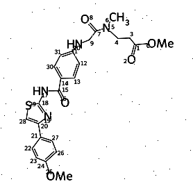 COC(=O)CCN(C)C(=O)CNc1ccc(C(=O)Nc2nc(-c3ccc(OC)cc3)cs2)cc1